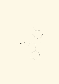 CO[C@H]1C[C@@](c2ccc(Cl)c(Cl)c2)([C@H](O)c2ccccn2)C1